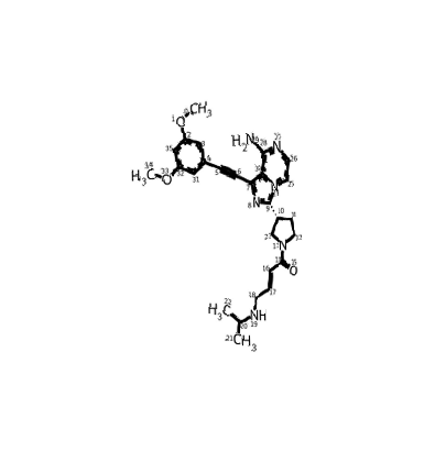 COc1cc(C#Cc2nc([C@@H]3CCN(C(=O)/C=C/CNC(C)C)C3)n3ccnc(N)c23)cc(OC)c1